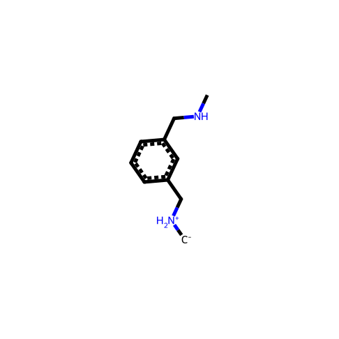 [CH2-][NH2+]Cc1cccc(CNC)c1